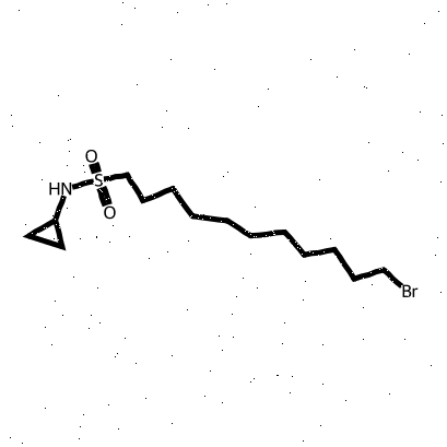 O=S(=O)(CCCCCCCCCCCBr)NC1CC1